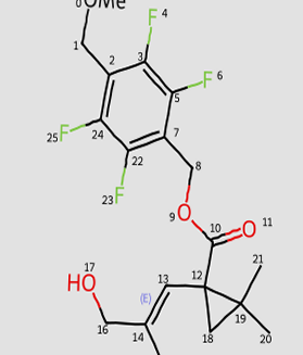 COCc1c(F)c(F)c(COC(=O)C2(/C=C(\C)CO)CC2(C)C)c(F)c1F